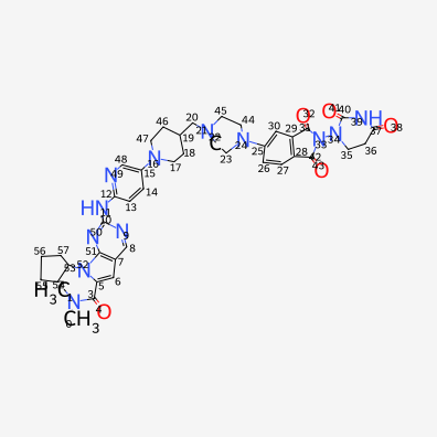 CN(C)C(=O)c1cc2cnc(Nc3ccc(N4CCC(CN5CCN(c6ccc7c(c6)C(=O)N(N6CCC(=O)NC6=O)C7=O)CC5)CC4)cn3)nc2n1C1CCCC1